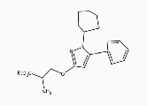 CCOC(=O)C(C)COc1cc(-c2ccccc2)n(C2CCCCC2)n1